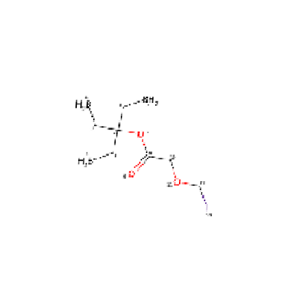 BCC(CB)(CB)OC(=O)COCI